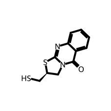 O=c1c2ccccc2nc2n1C[C@@H](CS)S2